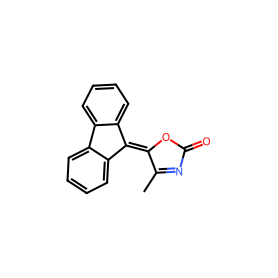 CC1=NC(=O)OC1=C1c2ccccc2-c2ccccc21